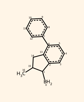 BC1c2cccc(-c3ccccc3)c2CC1C